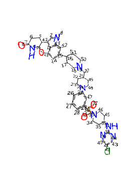 Cn1cc(C2CCC(=O)NC2=O)c2ccc(C3CCN(CC4CCN(c5cccc(S(=O)(=O)N6CCC(Nc7ncc(Cl)cn7)CC6)c5)CC4)CC3)cc21